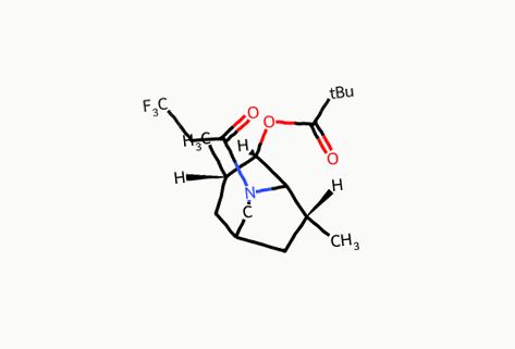 C[C@@H]1CC2C[C@H](C)[C@H](OC(=O)C(C)(C)C)C1N(C(=O)CC(F)(F)F)C2